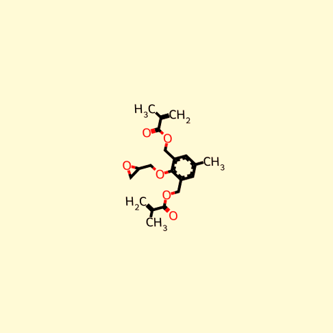 C=C(C)C(=O)OCc1cc(C)cc(COC(=O)C(=C)C)c1OCC1CO1